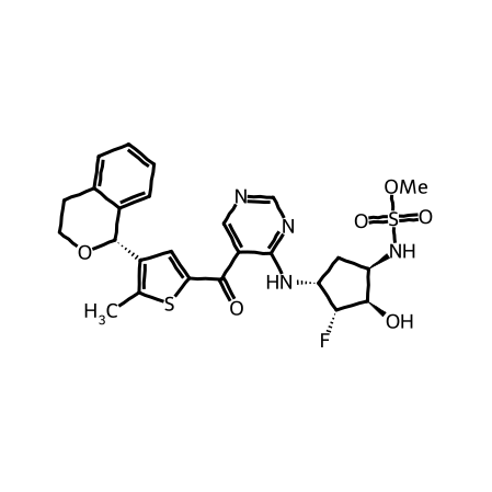 COS(=O)(=O)N[C@@H]1C[C@@H](Nc2ncncc2C(=O)c2cc([C@@H]3OCCc4ccccc43)c(C)s2)[C@@H](F)[C@@H]1O